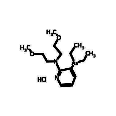 CC[As](CC)c1cccnc1N(CCOC)CCOC.Cl